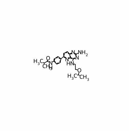 CC(C)OCCNc1nc(N)nc2ccc(-c3ccc(NC(=O)C(C)C)cc3)nc12